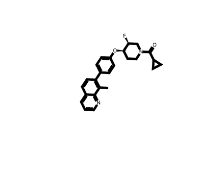 Cc1c(-c2ccc(O[C@@H]3CCN(C(=O)C4CC4)C[C@@H]3F)cc2)ccc2cccnc12